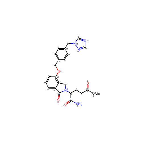 COC(=O)CCC(C(N)=O)N1Cc2c(OCc3ccc(Cn4cncn4)cc3)cccc2C1=O